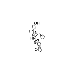 O=C1CCCN1c1ccc2nc(Nc3cc(CN4CCCCC4)nc(NC4CCC(O)CC4)n3)sc2c1